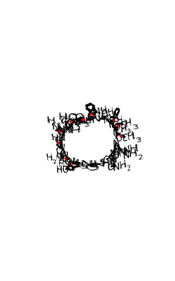 CCCC[C@H]1C(=O)N(C)[C@@H](CCCC)C(=O)N[C@@H](CCCNC(=N)N)C(=O)NC(C(=O)NCC(N)=O)CCSCC(=O)N[C@@H](Cc2ccc(O)cc2)C(=O)N(C)[C@@H](C)C(=O)N[C@@H](CC(N)=O)C(=O)N2CCC[C@H]2C(=O)N[C@@H](Cc2cnc[nH]2)C(=O)N[C@@H](CC(C)C)C(=O)N2C[C@H](O)CC2(C=O)N[C@@H](Cc2c[nH]c3ccccc23)C(=O)N[C@@H](CO)C(=O)N[C@@H](Cc2csc3ccccc23)C(=O)N1C